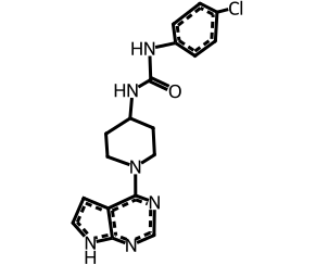 O=C(Nc1ccc(Cl)cc1)NC1CCN(c2ncnc3[nH]ccc23)CC1